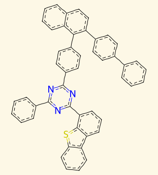 c1ccc(-c2ccc(-c3ccc4ccccc4c3-c3ccc(-c4nc(-c5ccccc5)nc(-c5cccc6c5sc5ccccc56)n4)cc3)cc2)cc1